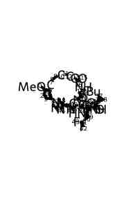 COc1ccc2cc1CCCCCCOC(=O)N[C@@H](C(C)(C)C)C(=O)N1C[C@@H](C[C@H]1C(=O)N[C@]1(C(=O)NS(=O)(=O)C3CC3)C[C@H]1C(F)F)c1nnn-2n1